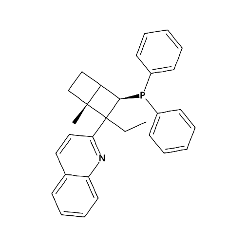 CCC1(c2ccc3ccccc3n2)[C@H](P(c2ccccc2)c2ccccc2)C2CC[C@]21C